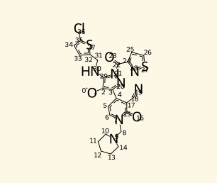 COc1c(-c2ccn(CN3CCCCC3)c(=O)c2C#N)nn(C(=O)c2ccsn2)c1NCc1ccc(Cl)s1